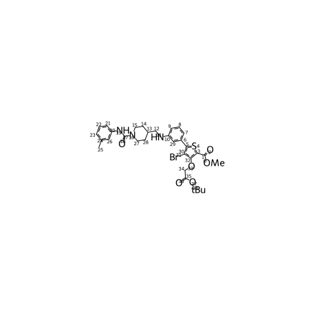 COC(=O)c1sc(-c2cccc(NCC3CCN(C(=O)Nc4cccc(C)c4)CC3)c2)c(Br)c1OCC(=O)OC(C)(C)C